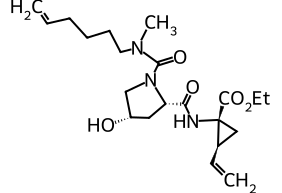 C=CCCCCN(C)C(=O)N1C[C@@H](O)C[C@H]1C(=O)N[C@]1(C(=O)OCC)C[C@H]1C=C